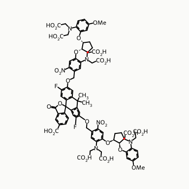 COc1ccc(N(CC(=O)O)CC(=O)O)c(O[C@@H]2CCC[C@@H]2Oc2cc([N+](=O)[O-])c(COc3cc4c(cc3F)C3(OC(=O)c5cc(C(=O)O)ccc53)c3cc(F)c(OCc5cc(N(CC(=O)O)CC(=O)O)c(O[C@H]6CCC[C@H]6Oc6cc(OC)ccc6N(CC(=O)O)CC(=O)O)cc5[N+](=O)[O-])cc3C4(C)C)cc2N(CC(=O)O)CC(=O)O)c1